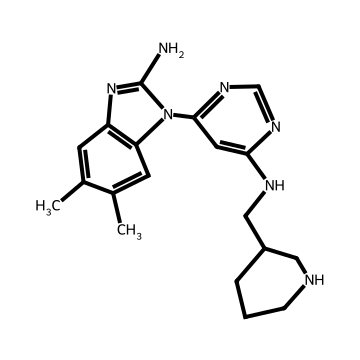 Cc1cc2nc(N)n(-c3cc(NCC4CCCNC4)ncn3)c2cc1C